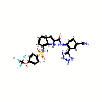 N#Cc1ccc(NC(=O)c2cc3cccc(NS(=O)(=O)c4ccc(OC(F)(F)F)cc4)c3[nH]2)c(-c2nnn[nH]2)c1